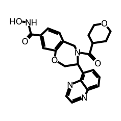 O=C(NO)c1ccc2c(c1)OCC(c1cccc3nccnc13)N(C(=O)C1CCOCC1)C2